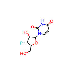 O=c1ccn([C@@H]2OC(CO)[C@H](F)[C@H]2O)c(=O)[nH]1